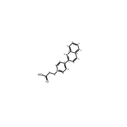 O=C(O)CC[n+]1ccc(-c2ccc3ccccc3n2)cc1